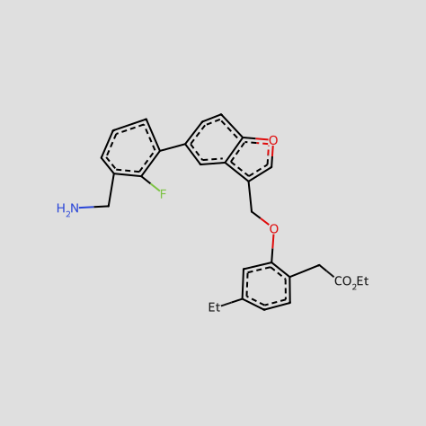 CCOC(=O)Cc1ccc(CC)cc1OCc1coc2ccc(-c3cccc(CN)c3F)cc12